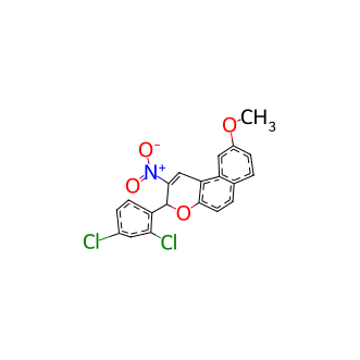 COc1ccc2ccc3c(c2c1)C=C([N+](=O)[O-])C(c1ccc(Cl)cc1Cl)O3